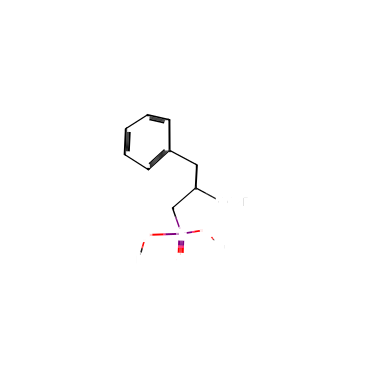 CCOC(=O)C(Cc1ccccc1)CP(=O)(OCC)OCC